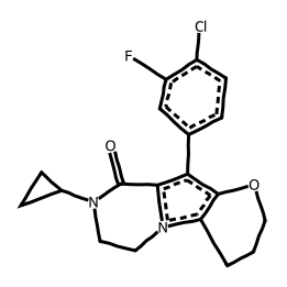 O=C1c2c(-c3ccc(Cl)c(F)c3)c3c(n2CCN1C1CC1)CCCO3